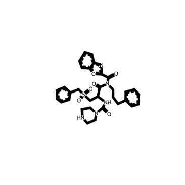 O=C(NC(CS(=O)(=O)Cc1ccccc1)C(=O)N(CCCc1ccccc1)C(=O)c1nc2ccccc2o1)N1CCNCC1